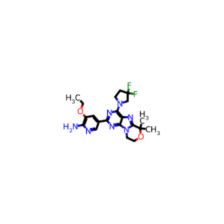 CCOc1cc(-c2nc(N3CCC(F)(F)C3)c3nc4n(c3n2)CCOC4(C)C)cnc1N